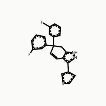 Fc1cccc(C2(c3cccc(F)c3)C=Cc3c(-c4ccsc4)n[nH]c3C2)c1